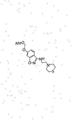 COCOc1ccc2c(NCCN3CCSCC3)noc2c1